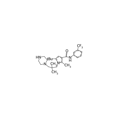 Cc1c(C(=O)Nc2cccc(C(F)(F)F)c2)cc(C(C)(C)C)n1CC(C)(C)CN1CCNCC1